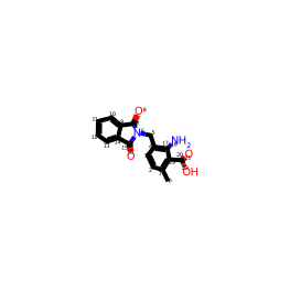 Cc1ccc(CN2C(=O)c3ccccc3C2=O)c(N)c1C(=O)O